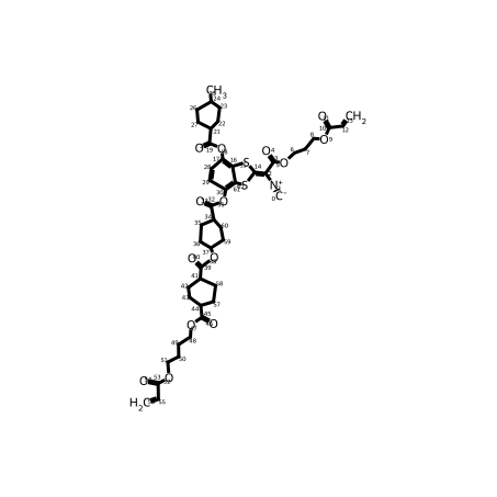 [C-]#[N+]/C(C(=O)OCCCOC(=O)C=C)=C1/Sc2c(OC(=O)C3CCC(C)CC3)ccc(OC(=O)C3CCC(OC(=O)C4CCC(C(=O)OCCCCOC(=O)C=C)CC4)CC3)c2S1